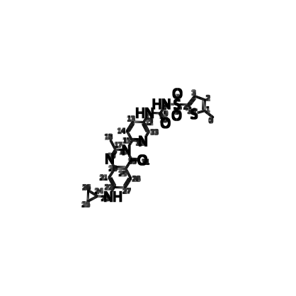 Cc1ccc(S(=O)(=O)NC(=O)Nc2ccc(-n3c(C)nc4cc(NC5CC5)ccc4c3=O)nc2)s1